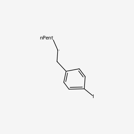 CCCCC[CH]Cc1ccc(I)cc1